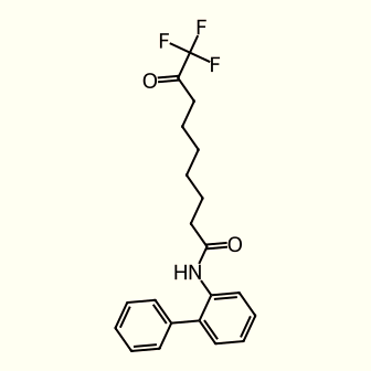 O=C(CCCCCCC(=O)C(F)(F)F)Nc1ccccc1-c1ccccc1